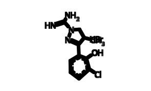 Br.CC1CN(C(=N)N)N=C1c1cccc(Cl)c1O